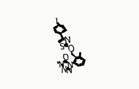 Cc1cccc(-n2nnn(C)c2=O)c1COc1nc(-c2ccc(I)cc2)cs1